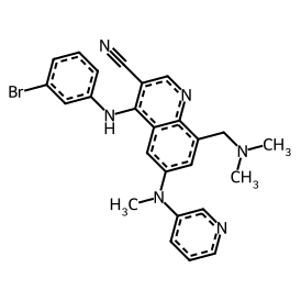 CN(C)Cc1cc(N(C)c2cccnc2)cc2c(Nc3cccc(Br)c3)c(C#N)cnc12